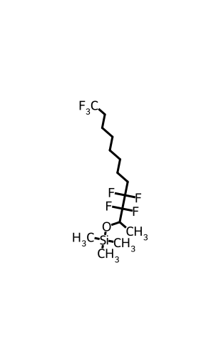 CC(O[Si](C)(C)C)C(F)(F)C(F)(F)CCCCCCCC(F)(F)F